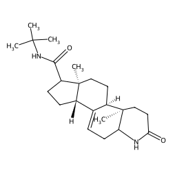 CC(C)(C)NC(=O)C1CC[C@H]2C3=CCC4NC(=O)CC[C@]4(C)[C@@H]3CC[C@]12C